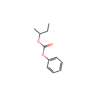 C[CH]C(C)OC(=O)Oc1ccccc1